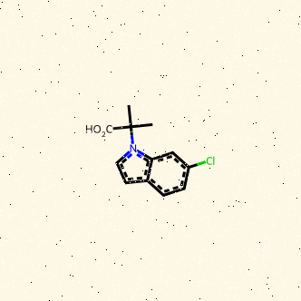 CC(C)(C(=O)O)n1ccc2ccc(Cl)cc21